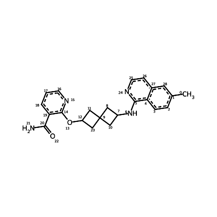 Cc1ccc2c(NC3CC4(C3)CC(Oc3ncccc3C(N)=O)C4)nccc2c1